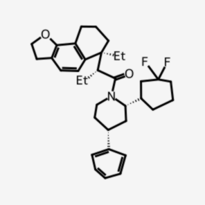 CC[C@@H](C(=O)N1CC[C@@H](c2ccccc2)C[C@H]1C1CCCC(F)(F)C1)[C@]1(CC)CCCc2c1ccc1c2OCC1